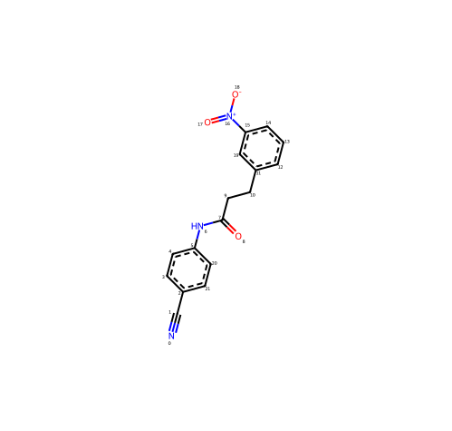 N#Cc1ccc(NC(=O)CCc2cccc([N+](=O)[O-])c2)cc1